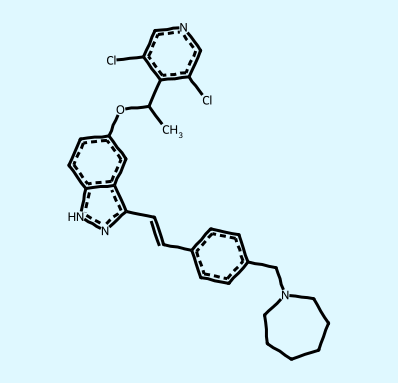 CC(Oc1ccc2[nH]nc(/C=C/c3ccc(CN4CCCCCC4)cc3)c2c1)c1c(Cl)cncc1Cl